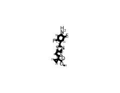 COC(=O)C1(c2cc3sc(-c4cc(F)c(N)cc4F)nc3s2)CC1